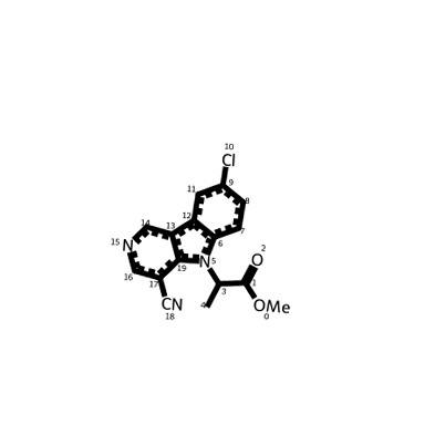 COC(=O)C(C)n1c2ccc(Cl)cc2c2cncc(C#N)c21